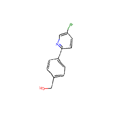 OCc1ccc(-c2ccc(Br)cn2)cc1